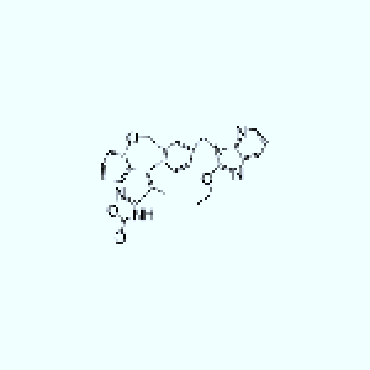 CCOc1nc2cccnc2n1Cc1ccc2c(c1)COc1ccccc1C2=C(C)c1noc(=O)[nH]1